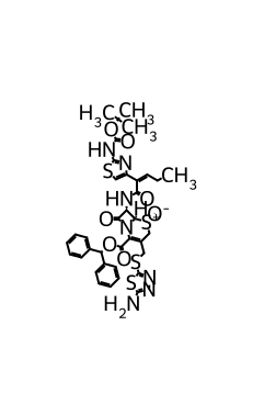 CC/C=C(\C(=O)N[C@@H]1C(=O)N2C(C(=O)OC(c3ccccc3)c3ccccc3)=C(CSc3nnc(N)s3)C[S+]([O-])[C@H]12)c1csc(NC(=O)OC(C)(C)C)n1